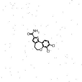 NC(=O)c1cc2c(s1)-c1ccc(Cl)c(Cl)c1OCC2